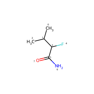 CC(C)C(F)C(N)=O